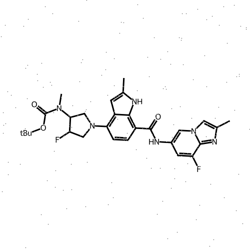 Cc1cn2cc(NC(=O)c3ccc(N4CC(F)C(N(C)C(=O)OC(C)(C)C)C4)c4cc(C)[nH]c34)cc(F)c2n1